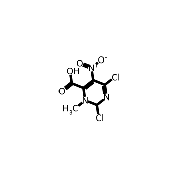 CN1C(C(=O)O)=C([N+](=O)[O-])C(Cl)=NC1Cl